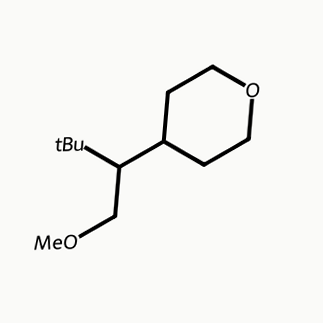 COCC(C1CCOCC1)C(C)(C)C